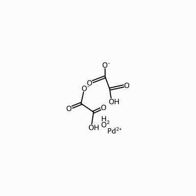 O.O=C([O-])C(=O)O.O=C([O-])C(=O)O.[Pd+2]